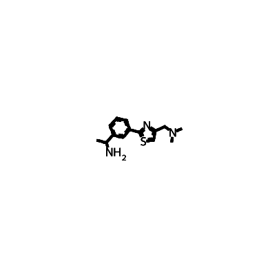 CC(N)c1cccc(-c2nc(CN(C)C)cs2)c1